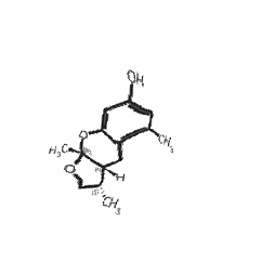 Cc1cc(O)cc2c1C[C@@H]1[C@H](C)CO[C@]1(C)O2